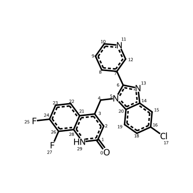 O=c1cc(Cn2c(-c3cccnc3)nc3cc(Cl)ccc32)c2ccc(F)c(F)c2[nH]1